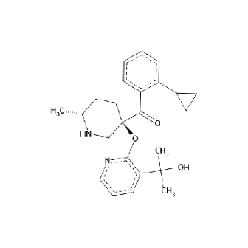 C[C@@H]1CC[C@](Oc2ncccc2C(C)(C)O)(C(=O)c2ccccc2C2CC2)CN1